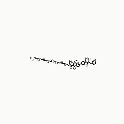 CCn1c(N)c(C(=O)NCCOCCOCCOCCOCCOCCOCCOCCN)c(=O)c2ccc(-c3ccc(NC(=O)NCc4cccnc4)cc3)nc21